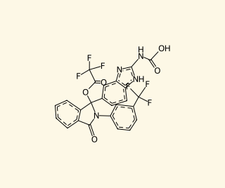 O=C(O)Nc1nc2cc(C3(OC(=O)C(F)(F)F)c4ccccc4C(=O)N3c3cccc(C(F)(F)F)c3)ccc2[nH]1